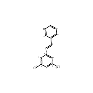 Clc1cc(Cl)nc(C=Cc2ccccc2)c1